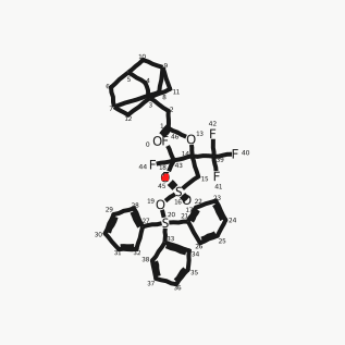 O=C(CC12CC3CC(CC(C3)C1)C2)OC(CS(=O)(=O)OS(c1ccccc1)(c1ccccc1)c1ccccc1)(C(F)(F)F)C(F)(F)F